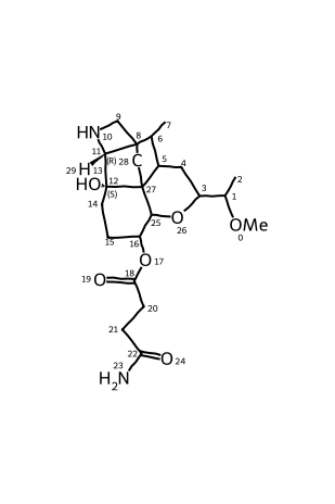 COC(C)C1CC2C(C)C34CN[C@H]3[C@]3(O)CCC(OC(=O)CCC(N)=O)C(O1)C23C4